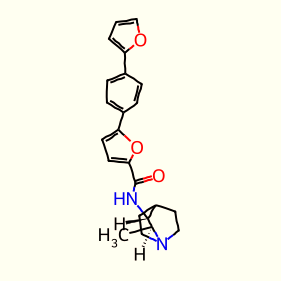 C[C@H]1[C@H](NC(=O)c2ccc(-c3ccc(-c4ccco4)cc3)o2)C2CCN1CC2